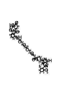 COc1cccc(F)c1-c1ncc2[nH]nc(N3CCN(C(=O)CCOCCOCCOCCOCCNc4cccc5c4C(=O)N(C4CCC(=O)NC4=O)C5=O)CC3)c2n1